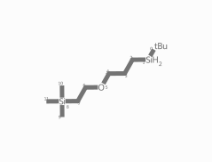 CC(C)(C)[SiH2]CC[CH]OCC[Si](C)(C)C